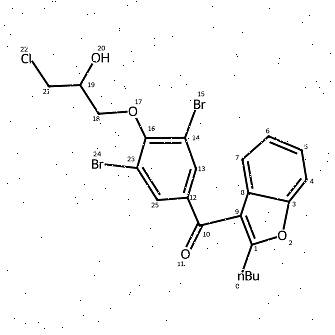 CCCCc1oc2ccccc2c1C(=O)c1cc(Br)c(OCC(O)CCl)c(Br)c1